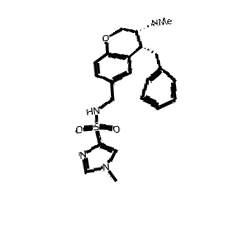 CN[C@H]1COc2ccc(CNS(=O)(=O)c3cn(C)cn3)cc2[C@H]1Cc1ccccc1